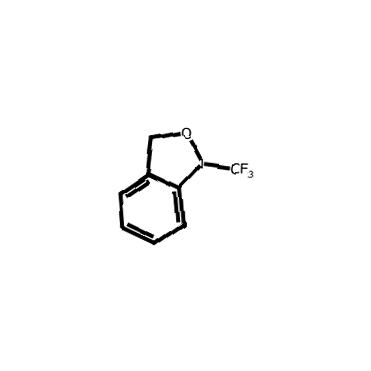 FC(F)(F)I1OCc2ccccc21